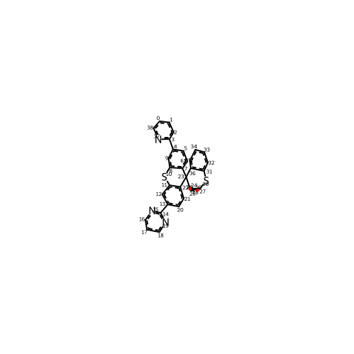 c1ccc(-c2ccc3c(c2)Sc2cc(-c4ncccn4)ccc2C32c3ccccc3Sc3ccccc32)nc1